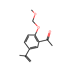 C=C(C)c1ccc(OCOC)c(C(C)=O)c1